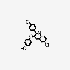 COc1ccc(Oc2cc3cc(Cl)ccc3nc2-c2ccc(Cl)cc2)cc1